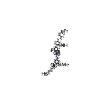 CCCC1CCC(CCc2ccc(-c3cc(F)c(OC(=O)/C=C/c4ccc(OC(=O)CCCCCS)c(OC)c4)c(F)c3)c(C=N)c2)CC1